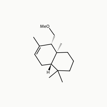 COC[C@H]1C(C)=CC[C@H]2C(C)(C)CCC[C@]12C